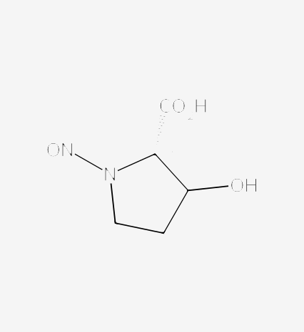 O=NN1CCC(O)[C@H]1C(=O)O